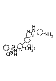 Cc1cc2nc(N[C@H]3CC[C@H](N)CC3)ncc2cc1-c1ccc(NS(=O)(=O)c2ccccc2Cl)nc1C